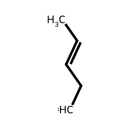 [CH]C/C=C/C